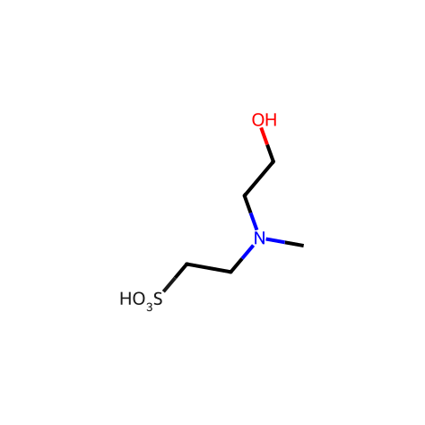 CN(CCO)CCS(=O)(=O)O